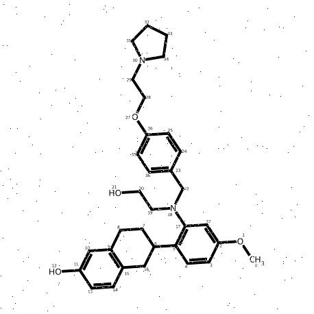 COc1ccc(C2CCc3cc(O)ccc3C2)c(N(CCO)Cc2ccc(OCCN3CCCC3)cc2)c1